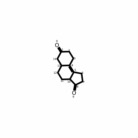 O=C1CCC2=C3CCC(=O)C3CCC2C1